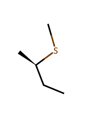 CC[C@@H](C)SC